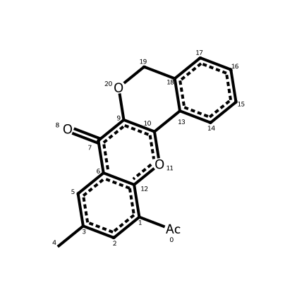 CC(=O)c1cc(C)cc2c(=O)c3c(oc12)-c1ccccc1CO3